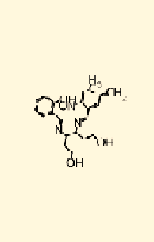 C=C/C=C(/C=N/C(CCO)C(CCO)/N=C/c1ccccc1O)C(=C/C)\N=O